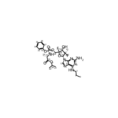 CCCNc1nc(N)nc2c1ncn2[C@@H]1O[C@](F)(CO[P@](=O)(N[C@@H](C)C(=O)OC(C)C)Oc2ccccc2)[C@@H](O)[C@@]1(C)F